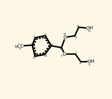 Cc1ccc(C(OCCO)OCCO)cc1